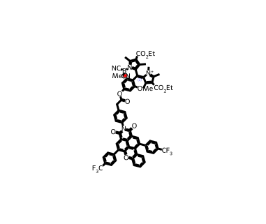 CCOC(=O)C1=C(C)/C(=C(\c2c(OC)cc(OC(=O)Cc3ccc(-n4c(=O)c5cc(-c6ccc(C(F)(F)F)cc6)c6oc7ccccc7c7c(-c8ccc(C(F)(F)F)cc8)cc(c4=O)c5c67)cc3)cc2OC)c2c(C)c(C(=O)OCC)c(C)n2B(C#N)C#N)[N+](C)=C1C